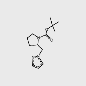 CC(C)(C)OC(=O)N1CCCC1Cn1cccn1